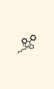 CCCCCC(=O)N1CCCC1C(c1ccccc1)c1ccccc1